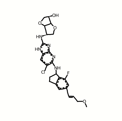 COC/C=C/c1cc(F)c2c(c1)CCC2Nc1nc2nc(N[C@@H]3COC4C3OC[C@H]4O)[nH]c2cc1Cl